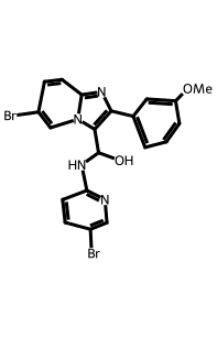 COc1cccc(-c2nc3ccc(Br)cn3c2C(O)Nc2ccc(Br)cn2)c1